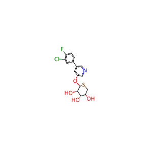 O[C@@H]1[C@@H](O)[C@@H](Oc2cncc(-c3ccc(F)c(Cl)c3)c2)SC[C@H]1O